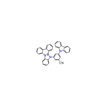 N#Cc1cc(N2B3c4ccccc4-c4ccccc4N3c3ccccc32)cc(-n2c3ccccc3c3ccccc32)c1